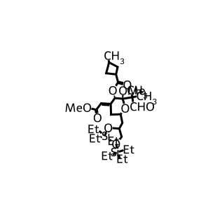 CC[Si](CC)(CC)OCC(CC1C/C(=C\C(=O)OC)[C@H](OC(=O)C2CC(C)C2)[C@](OC)(C(C)(C)C=O)O1)O[Si](CC)(CC)CC